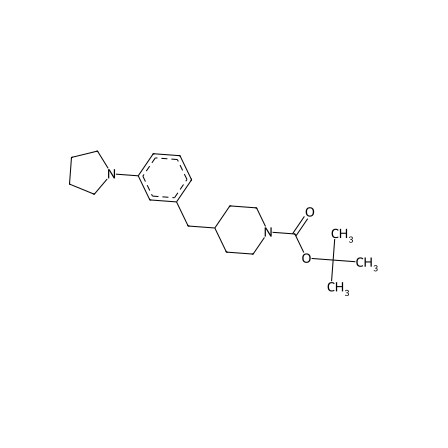 CC(C)(C)OC(=O)N1CCC(Cc2cccc(N3CCCC3)c2)CC1